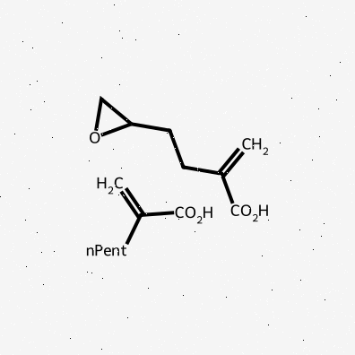 C=C(CCC1CO1)C(=O)O.C=C(CCCCC)C(=O)O